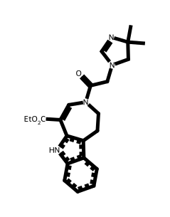 CCOC(=O)C1=CN(C(=O)CN2C=NC(C)(C)C2)CCc2c1[nH]c1ccccc21